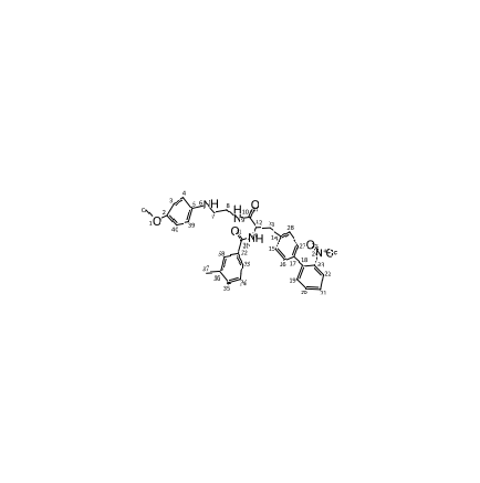 COc1ccc(NCCNC(=O)C(Cc2ccc(-c3ccccc3[N+](=O)[O-])cc2)NC(=O)c2cccc(C)c2)cc1